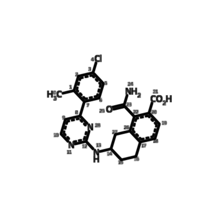 Cc1cc(Cl)ccc1-c1ccnc(NC2CCc3ccc(C(=O)O)c(C(N)=O)c3C2)n1